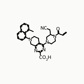 C=CC(=O)N1CCN(c2nc(C(=O)O)nc3c2CCN(c2cccc4cccc(C)c24)C3)CC1CC#N